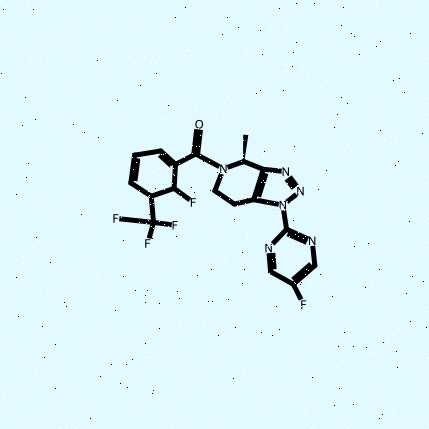 C[C@H]1c2nnn(-c3ncc(F)cn3)c2CCN1C(=O)C1=CC=CC(C(F)(F)F)C1F